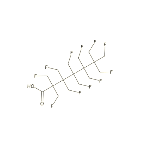 O=C(O)C(CF)(CF)C(CF)(CF)C(CF)(CF)C(CF)(CF)C(CF)(CF)CF